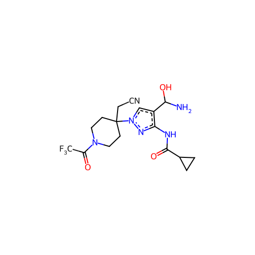 N#CCC1(n2cc(C(N)O)c(NC(=O)C3CC3)n2)CCN(C(=O)C(F)(F)F)CC1